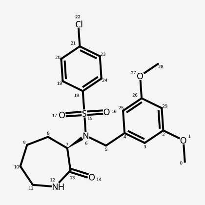 COc1cc(CN([C@@H]2CCCCNC2=O)S(=O)(=O)c2ccc(Cl)cc2)cc(OC)c1